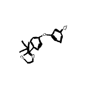 CC(C)(C)C1(c2ccc(Oc3cccc(Cl)c3)cc2)OCCO1